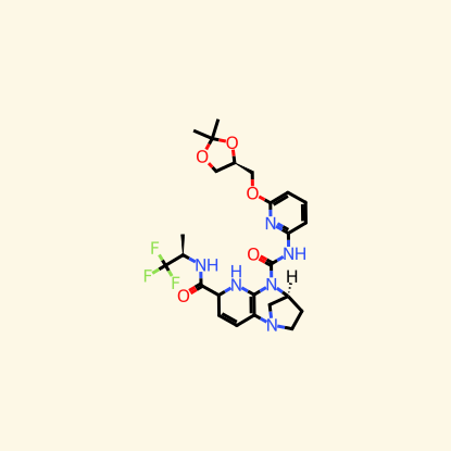 C[C@@H](NC(=O)C1C=CC2=C(N1)N(C(=O)Nc1cccc(OC[C@H]3COC(C)(C)O3)n1)[C@H]1CCN2C1)C(F)(F)F